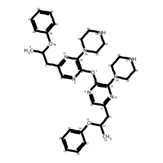 CC(Cc1cnc(Oc2ncc(CC(C)Oc3ccccc3)nc2N2CCNCC2)c(N2CCNCC2)n1)Oc1ccccc1